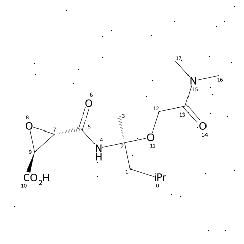 CC(C)C[C@@](C)(NC(=O)[C@H]1O[C@@H]1C(=O)O)OCC(=O)N(C)C